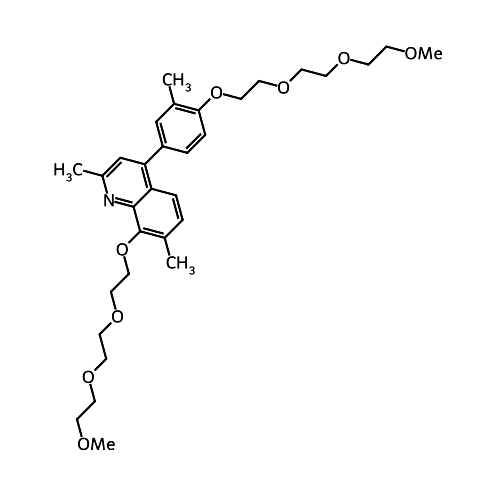 COCCOCCOCCOc1ccc(-c2cc(C)nc3c(OCCOCCOCCOC)c(C)ccc23)cc1C